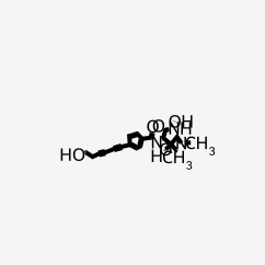 COC1(C(NC(=O)c2ccc(C#CC#CCCO)cc2)C(=O)NO)CN(C)C1